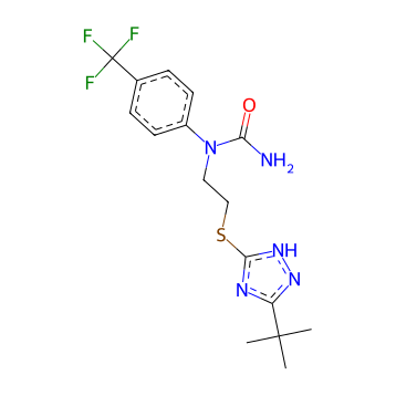 CC(C)(C)c1n[nH]c(SCCN(C(N)=O)c2ccc(C(F)(F)F)cc2)n1